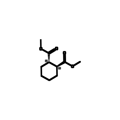 COC(=O)[C@H]1CCCC[C@@H]1C(=O)OC